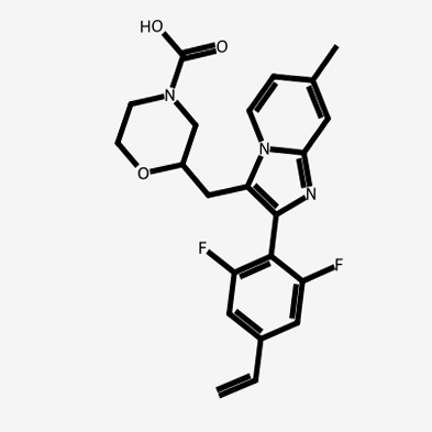 C=Cc1cc(F)c(-c2nc3cc(C)ccn3c2CC2CN(C(=O)O)CCO2)c(F)c1